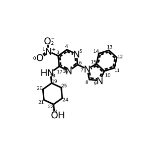 O=[N+]([O-])c1cnc(-n2cnc3ccccc32)nc1NC1CCC(O)CC1